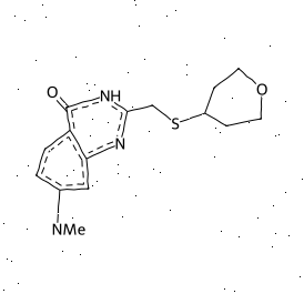 CNc1ccc2c(=O)[nH]c(CSC3CCOCC3)nc2c1